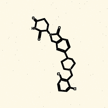 O=C1CCC(N2Cc3cc(C4CCN(Cc5c(Cl)cccc5Cl)CC4)ccc3C2=O)C(=O)N1